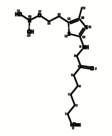 CCCCCCCCCCCCCCCC(=O)CNc1nc(C)c(CCON(O)O)s1